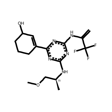 C=C(Nc1nc(N[C@@H](C)COC)nc(C2=CC(O)CCC2)n1)C(F)(F)F